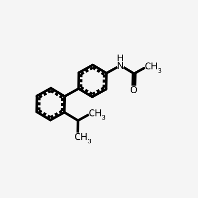 CC(=O)Nc1ccc(-c2ccccc2C(C)C)cc1